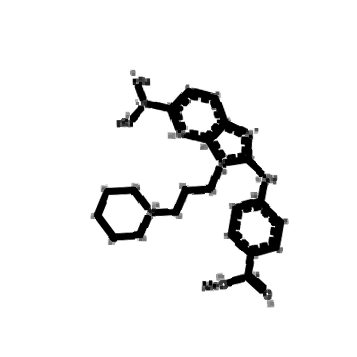 CCCCN(CCCC)c1ccc2nc(Nc3ccc(C(=O)OC)cc3)n(CCCN3CCCCC3)c2n1